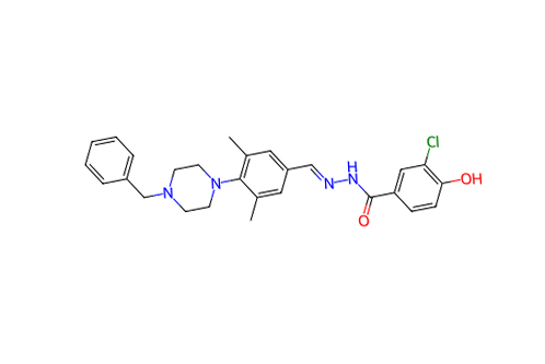 Cc1cc(/C=N/NC(=O)c2ccc(O)c(Cl)c2)cc(C)c1N1CCN(Cc2ccccc2)CC1